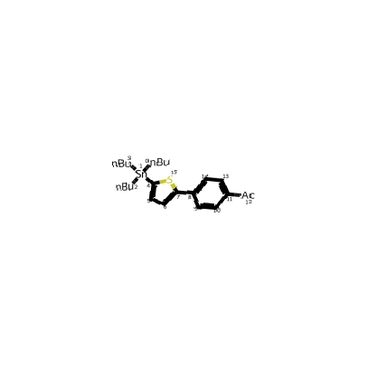 CCC[CH2][Sn]([CH2]CCC)([CH2]CCC)[c]1ccc(-c2ccc(C(C)=O)cc2)s1